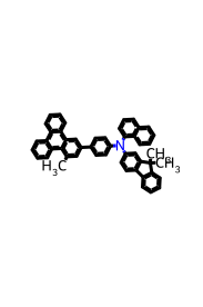 Cc1cc(-c2ccc(N(c3ccc4c(c3)C(C)(C)c3ccccc3-4)c3cccc4ccccc34)cc2)cc2c3ccccc3c3ccccc3c12